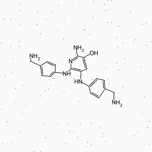 NCc1ccc(Nc2cc(O)c(N)nc2Nc2ccc(CN)cc2)cc1